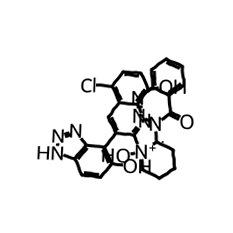 O=c1c2ccccc2nnn1[C]1CCCC[N+]1(O)c1nc2c(O)ccc(Cl)c2cc1-c1c(O)ccc2[nH]nnc12